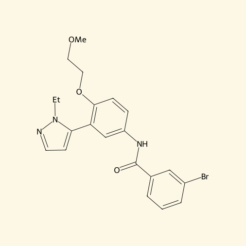 CCn1nccc1-c1cc(NC(=O)c2cccc(Br)c2)ccc1OCCOC